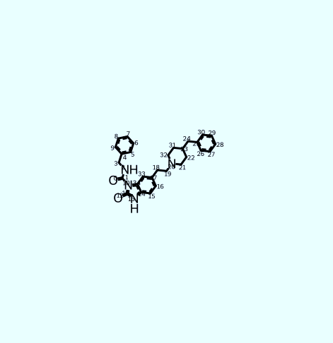 O=C(NCc1ccccc1)n1c(=O)[nH]c2ccc(CCN3CCC(Cc4ccccc4)CC3)cc21